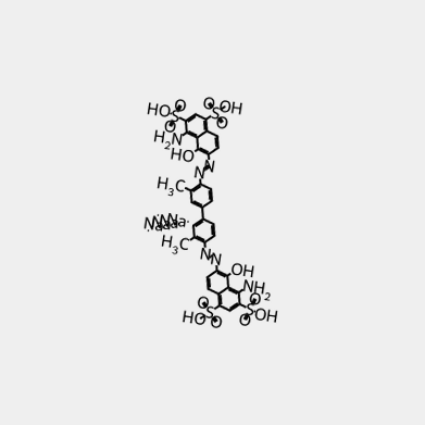 Cc1cc(-c2ccc(N=Nc3ccc4c(S(=O)(=O)O)cc(S(=O)(=O)O)c(N)c4c3O)c(C)c2)ccc1N=Nc1ccc2c(S(=O)(=O)O)cc(S(=O)(=O)O)c(N)c2c1O.[Na].[Na].[Na].[Na]